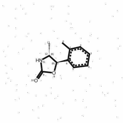 Cc1ccccc1[C@H]1OC(=O)N[C@@H]1C